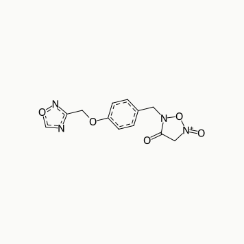 O=C1C[N+](=O)ON1Cc1ccc(OCc2ncon2)cc1